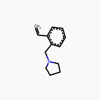 C=Cc1ccccc1CN1CCCC1